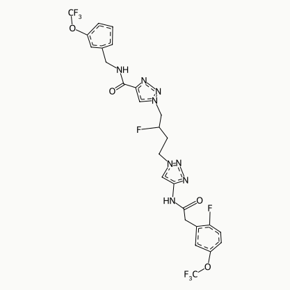 O=C(Cc1cc(OC(F)(F)F)ccc1F)Nc1cn(CCC(F)Cn2cc(C(=O)NCc3cccc(OC(F)(F)F)c3)nn2)nn1